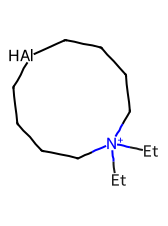 CC[N+]1(CC)CCC[CH2][AlH][CH2]CCC1